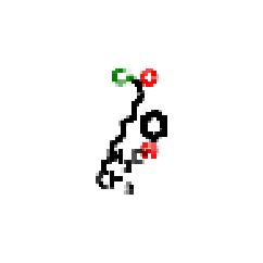 CCCCCCCCCC(=O)Cl.COc1ccccc1